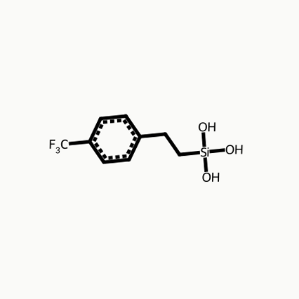 O[Si](O)(O)CCc1ccc(C(F)(F)F)cc1